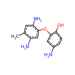 Cc1cc(N)c(Oc2cc(N)ccc2O)cc1N